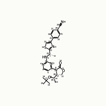 C[C@H](Nc1nccc(N2C(=O)OC[C@@H]2[C@@H](C)OC(C)(C)C)n1)c1nc(-c2ccc(C#N)cc2)cs1